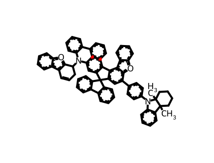 CC12CCCCC1(C)N(c1ccc(-c3cc4c(c5c3oc3ccccc35)-c3ccc(N(c5ccccc5-c5ccccc5)C5CC=Cc6c5oc5ccccc65)cc3C43c4ccccc4-c4ccccc43)cc1)c1ccccc12